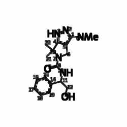 CNc1n[nH]c2c1CN(C(=O)NC(CO)c1ccccc1)C2(C)C